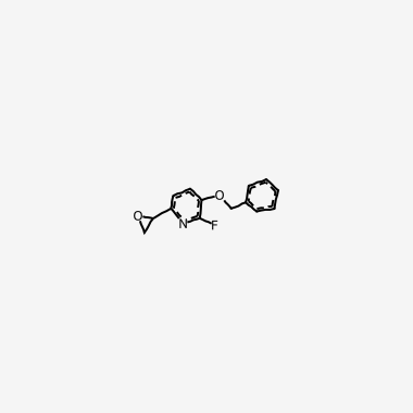 Fc1nc(C2CO2)ccc1OCc1ccccc1